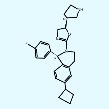 Fc1ccc([C@H]2c3ccc(C4CCC4)cc3CCN2C2=NCC([C@H]3CCNC3)O2)cc1